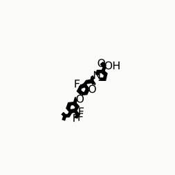 CC(C)Cc1ccc(COc2cc(F)c3c(c2)OCC(CN2CCC=C(C(=O)O)C2)=C3)cc1C(F)(F)F